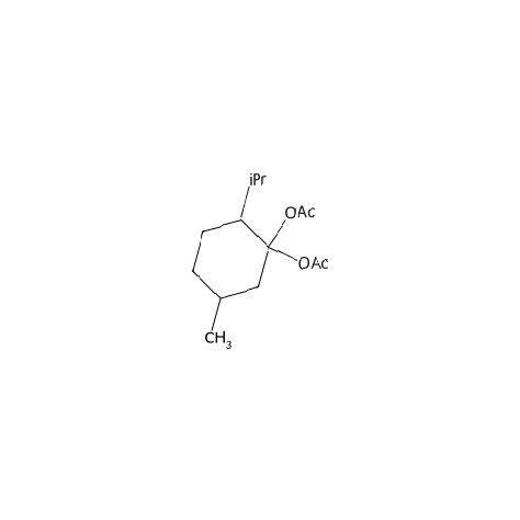 CC(=O)OC1(OC(C)=O)CC(C)CCC1C(C)C